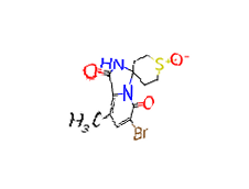 Cc1cc(Br)c(=O)n2c1C(=O)NC21CC[S+]([O-])CC1